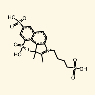 CC1=[N+](CCCCS(=O)(=O)O)c2ccc3cc(S(=O)(=O)O)cc(S(=O)(=O)O)c3c2C1(C)C